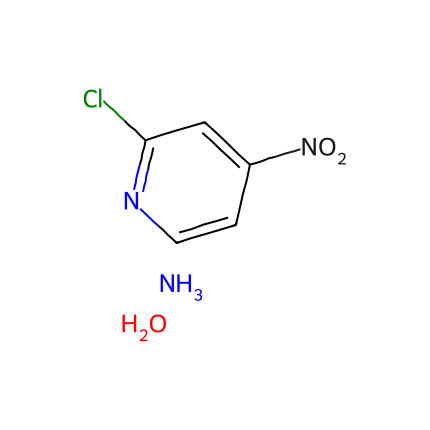 N.O.O=[N+]([O-])c1ccnc(Cl)c1